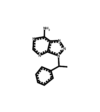 CC(c1ccccc1)n1nnc2c(N)ncnc21